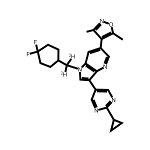 [2H]C([2H])(C1CCC(F)(F)CC1)n1cc(-c2cnc(C3CC3)nc2)c2ncc(-c3c(C)noc3C)cc21